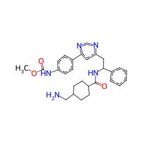 COC(=O)Nc1ccc(-c2cc(CC(NC(=O)C3CCC(CN)CC3)c3ccccc3)ncn2)cc1